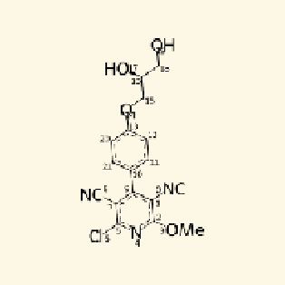 [C-]#[N+]c1c(OC)nc(Cl)c(C#N)c1-c1ccc(OC[C@@H](O)CO)cc1